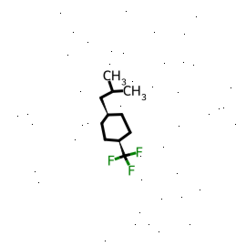 CC(C)C[C@H]1CC[C@@H](C(F)(F)F)CC1